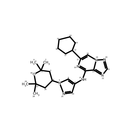 CC1(C)CC(n2cc(Nc3nc(C4CCCCC4)cn4ncnc34)cn2)CC(C)(C)O1